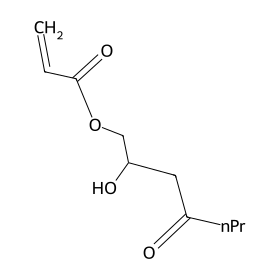 C=CC(=O)OCC(O)CC(=O)CCC